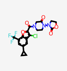 O=C(c1oc2c(C(F)(F)F)cc(C3CC3)cc2c1Cl)N1CCN(N2CCOC2=O)C(=O)C1